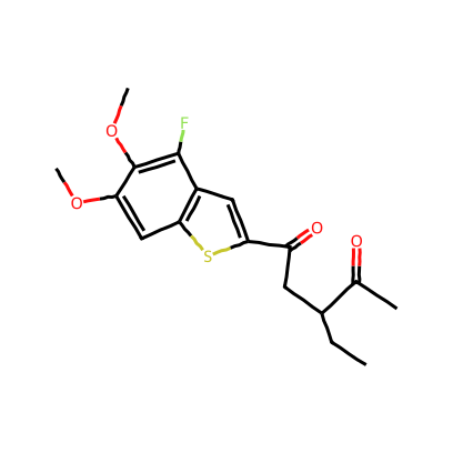 CCC(CC(=O)c1cc2c(F)c(OC)c(OC)cc2s1)C(C)=O